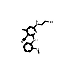 COc1ccccc1Nc1nc(NCCO)cc(C)c1C#N